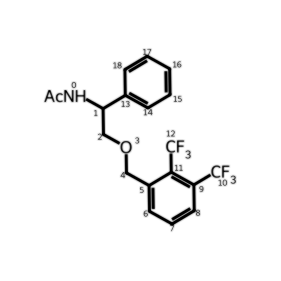 CC(=O)NC(COCc1cccc(C(F)(F)F)c1C(F)(F)F)c1ccccc1